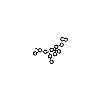 c1ccc(-c2ccc(N(c3ccc(-c4ccc5oc6ccccc6c5c4)cc3)c3ccc4c(c3)C(c3ccccc3)(c3ccccc3)c3cc(-c5cccc(-c6cccc7ccccc67)c5)ccc3-4)cc2)cc1